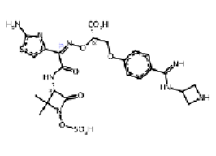 CC1(C)[C@H](NC(=O)/C(=N\O[C@@H](COc2ccc(C(=N)NC3CNC3)cc2)C(=O)O)c2csc(N)n2)C(=O)N1OS(=O)(=O)O